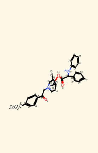 CCOC(=O)c1ccc(C(=O)C[N+]23CCC(CC2)[C@@H](OC(=O)C(Nc2ccccc2)c2ccccc2)C3)cc1